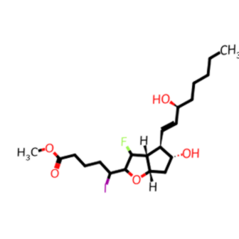 CCCCC[C@H](O)/C=C/[C@@H]1[C@H]2C(F)C(C(I)CCCC(=O)OC)O[C@H]2C[C@H]1O